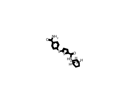 NC(=O)c1ccc(Sc2ccc(C(=O)N[C@@H]3C[C@H]4CC[C@@H]3N4)s2)cc1